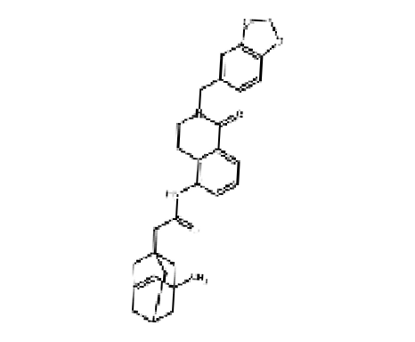 CC12C=C3CC(C1)CC(CC(=O)Nc1cccc4c1CCN(Cc1ccc5c(c1)OCO5)C4=O)(C3)C2